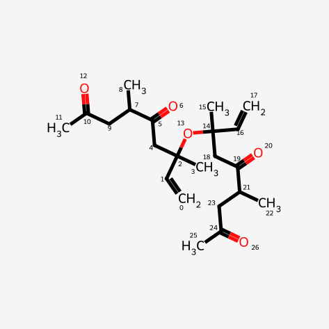 C=CC(C)(CC(=O)C(C)CC(C)=O)OC(C)(C=C)CC(=O)C(C)CC(C)=O